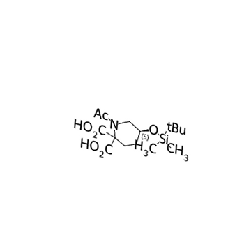 CC(=O)N1C[C@@H](O[Si](C)(C)C(C)(C)C)CCC1(C(=O)O)C(=O)O